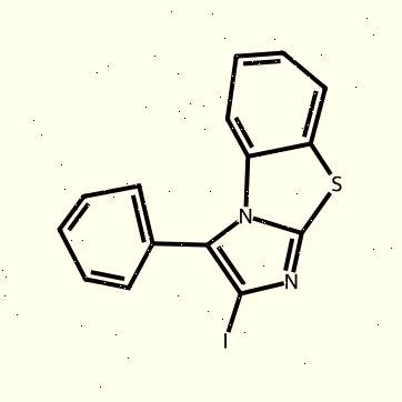 Ic1nc2sc3ccccc3n2c1-c1ccccc1